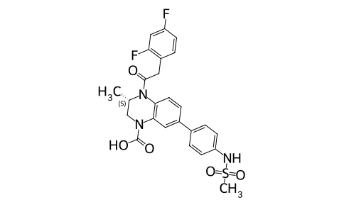 C[C@H]1CN(C(=O)O)c2cc(-c3ccc(NS(C)(=O)=O)cc3)ccc2N1C(=O)Cc1ccc(F)cc1F